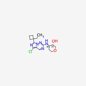 CCC1(c2nc(Cl)c3cnc(N[C@@H]4CCOC[C@H]4O)nn23)CCC1